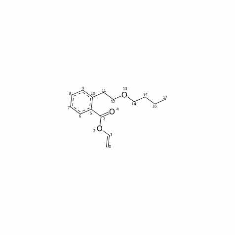 C=COC(=O)c1ccccc1CCOCCCC